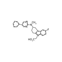 CN(c1ncc(-c2ccccc2)cn1)C1CCc2c(c3cc(F)ccc3n2CC(=O)O)C1